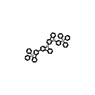 c1ccc([Si](c2ccccc2)(c2ccccc2)c2cccc(-n3c4ccccc4c4ccc(-n5c6ccccc6c6cc(-c7ccc8c(c7)-c7ccccc7[Si]8(c7ccccc7)c7ccccc7)ccc65)cc43)c2)cc1